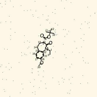 CCN1C(=O)[C@@H](C(=O)OC(C)(C)C)CCc2ccc(OC)cc21